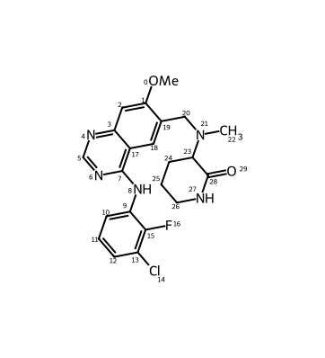 COc1cc2ncnc(Nc3cccc(Cl)c3F)c2cc1CN(C)C1CCCNC1=O